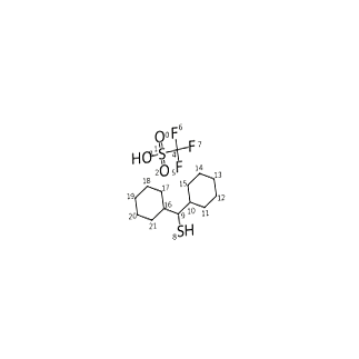 O=S(=O)(O)C(F)(F)F.SC(C1CCCCC1)C1CCCCC1